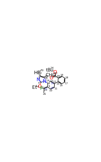 CBc1nc(OCC)n(CC(/C=C\C(=C/C)c2ccccc2C(=O)OC(C)(C)C)=C(/C)F)c1C=O